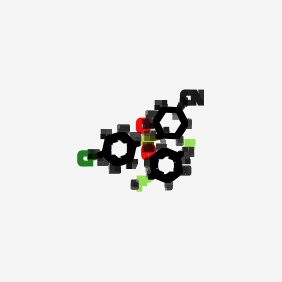 N#C[C@H]1CC[C@@](c2cc(F)ccc2F)(S(=O)(=O)c2ccc(Cl)cc2)CC1